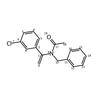 C=C(c1cccc(Cl)c1)N(Cc1ccccc1)C(C)=O